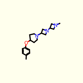 Cc1ccc(OC2CCN(C3CN(C4CN(C)C4)C3)CC2)cc1